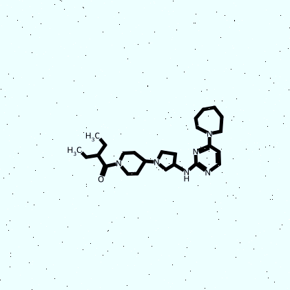 CCC(CC)C(=O)N1CCC(N2CCC(Nc3nccc(N4CCCCCC4)n3)C2)CC1